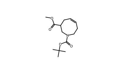 COC(=O)C1CC=CCCN(C(=O)OC(C)(C)C)C1